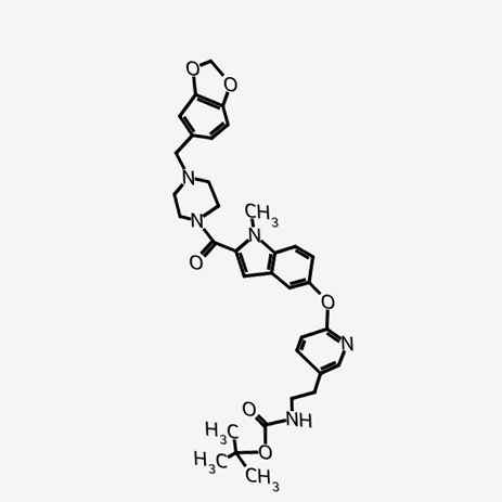 Cn1c(C(=O)N2CCN(Cc3ccc4c(c3)OCO4)CC2)cc2cc(Oc3ccc(CCNC(=O)OC(C)(C)C)cn3)ccc21